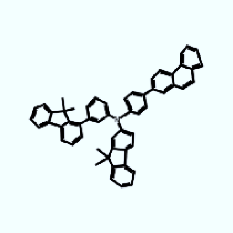 CC1(C)c2ccccc2-c2ccc(N(c3ccc(-c4ccc5c(ccc6ccccc65)c4)cc3)c3cccc(-c4cccc5c4C(C)(C)c4ccccc4-5)c3)cc21